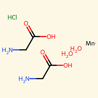 Cl.NCC(=O)O.NCC(=O)O.O.O.[Mn]